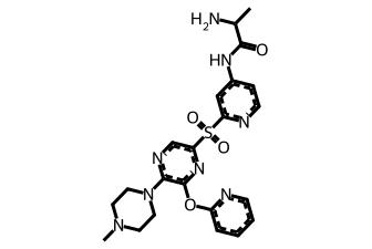 CC(N)C(=O)Nc1ccnc(S(=O)(=O)c2cnc(N3CCN(C)CC3)c(Oc3ccccn3)n2)c1